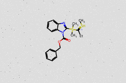 CC/C(=[SH]/C)S(C)(C)c1nc2ccccc2n1C(=O)OCc1ccccc1